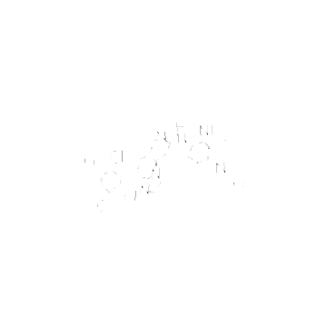 COc1cc(OC)c(Cl)c(-c2cc3cnc(Nc4ccc(N5CCOCC5)cc4N)cc3n3ccnc23)c1Cl